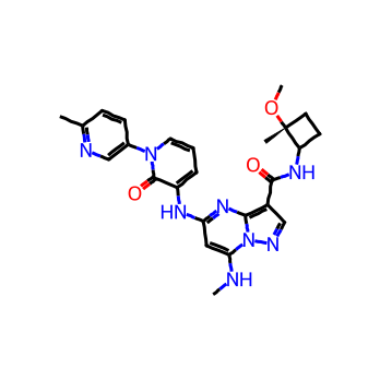 CNc1cc(Nc2cccn(-c3ccc(C)nc3)c2=O)nc2c(C(=O)NC3CC[C@@]3(C)OC)cnn12